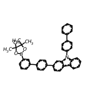 CC1(C)OB(c2cccc(-c3ccc(-c4ccc5c6ccccc6n(-c6ccc(-c7ccccc7)cc6)c5c4)cc3)c2)OC1(C)C